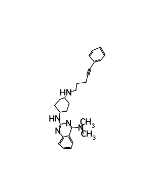 CN(C)c1nc(N[C@H]2CC[C@@H](NCCCC#Cc3ccccc3)CC2)nc2ccccc12